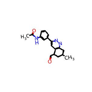 CC(=O)Nc1cccc(-c2cc3c(nn2)CC(C)CC3C=O)c1